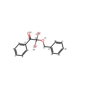 O=C(c1ccccc1)C(Br)(Br)OCc1ccccc1